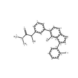 CN(C)C(=O)C(O)c1cncc(-c2cnc3[nH]nc(-c4ccccc4F)c3c2Cl)c1